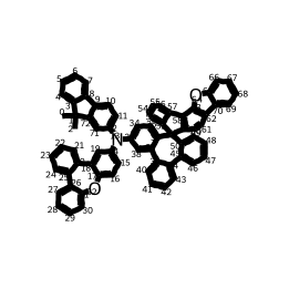 CC1(C)c2ccccc2-c2ccc(N(c3ccc4c(c3)-c3ccccc3-c3ccccc3O4)c3ccc4c(c3)-c3ccccc3-c3ccccc3C43c4ccccc4-c4c3ccc3c4oc4ccccc43)cc21